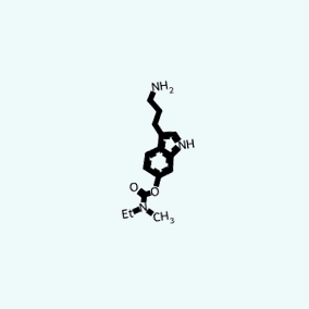 CCN(C)C(=O)Oc1ccc2c(CCCN)c[nH]c2c1